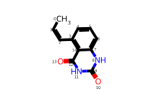 C/C=C\c1cccc2[nH]c(=O)[nH]c(=O)c12